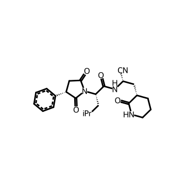 CC(C)C[C@@H](C(=O)N[C@H](C#N)C[C@@H]1CCCNC1=O)N1C(=O)C[C@@H](c2ccccc2)C1=O